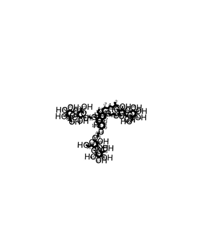 CC(C)CCC[C@@H](C)[C@H]1CC[C@H]2[C@@H]3[C@H](OCCO[C@@H]4OC(CO)[C@@H](O[C@H]5OC(CO)[C@@H](O)[C@H](O)C5O)[C@H](O)C4O)C[C@@H]4C[C@H](OCCO[C@@H]5OC(CO)[C@@H](O[C@H]6OC(CO)[C@@H](O)[C@H](O)C6O)[C@H](O)C5O)CC[C@]4(C)[C@H]3C[C@H](OCCO[C@@H]3OC(CO)[C@@H](O[C@H]4OC(CO)[C@@H](O)[C@H](O)C4O)[C@H](O)C3O)[C@]12C